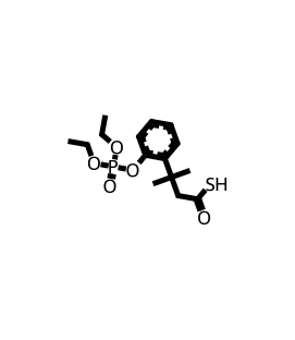 CCOP(=O)(OCC)Oc1ccccc1C(C)(C)CC(=O)S